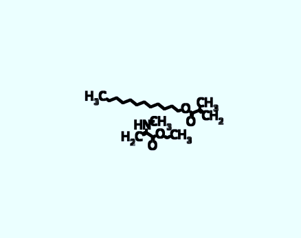 C=C(C)C(=O)OCCCCCCCCCCCC.C=C(NC)C(=O)OCC